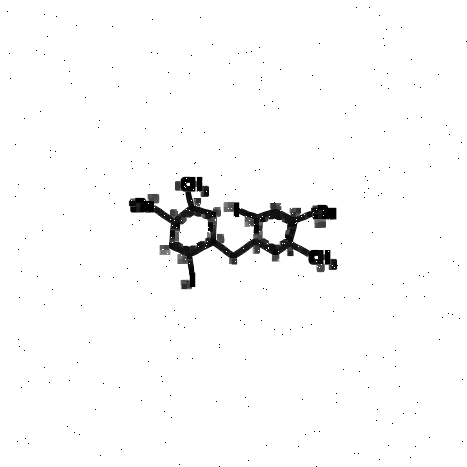 Cc1cc(Cc2cc(C)c(C(C)(C)C)cc2I)c(I)cc1C(C)(C)C